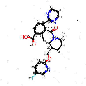 Cc1c(C(=O)O)ccc(-c2ncccn2)c1C(=O)N1C[C@H](COc2ccc(F)cn2)CC[C@H]1C